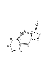 O=c1ccn2cc3c(ncc1-2)CCCC3